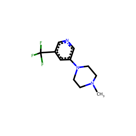 CN1CCN(c2cncc(C(F)(F)F)c2)CC1